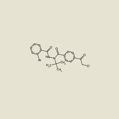 CC(C)(C)N(NC(=O)c1ccccc1Br)C(=O)c1ccc(C(=O)CCl)cc1